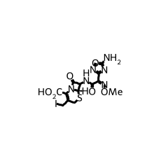 CO/N=C(\C(=O)NC1C(=O)N2C(C(=O)O)=C(CI)CS[C@@H]12)c1noc(N)n1